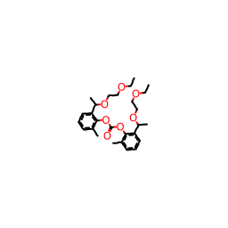 CCOCCOC(C)c1cccc(C)c1OC(=O)Oc1c(C)cccc1C(C)OCCOCC